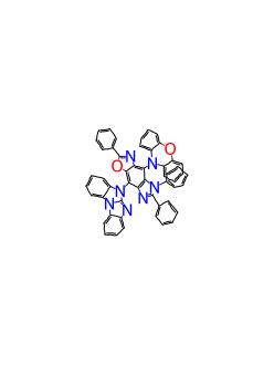 c1ccc(-c2nc3c(N4c5ccccc5Oc5ccccc54)c4c(nc(-c5ccccc5)n4-c4ccccc4)c(-n4c5ccccc5n5c6ccccc6nc45)c3o2)cc1